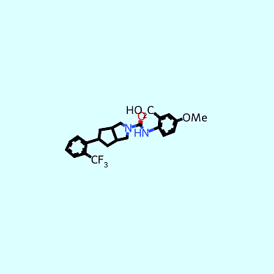 COc1ccc(NC(=O)N2CC3CC(c4ccccc4C(F)(F)F)CC3C2)c(C(=O)O)c1